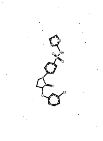 CCc1cccc(OC2CCN(c3ccc(S(=O)(=O)Nc4nccs4)cc3)C2=O)c1